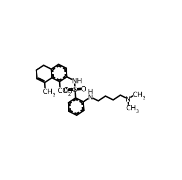 CC1=CCCc2ccc(NS(=O)(=O)c3ccccc3NCCCCN(C)C)c(C(=O)O)c21